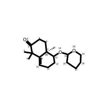 CC1(C)C(=O)CC[C@]2(C)C1=CCCC2OC1CCCCO1